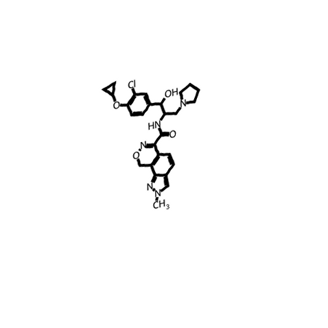 Cn1cc2ccc3c(c2n1)CON=C3C(=O)NC(CN1CCCC1)C(O)c1ccc(OC2CC2)c(Cl)c1